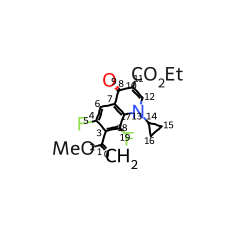 C=C(OC)c1c(F)cc2c(=O)c(C(=O)OCC)cn(C3CC3)c2c1F